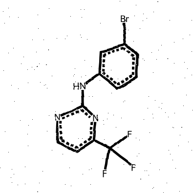 FC(F)(F)c1ccnc(Nc2cccc(Br)c2)n1